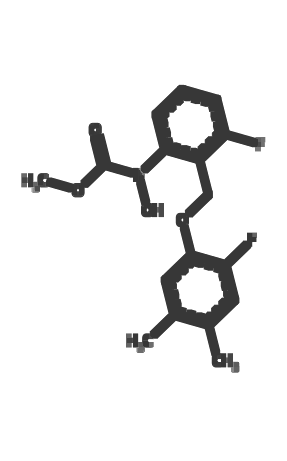 COC(=O)N(O)c1cccc(F)c1COc1cc(C)c(C)cc1F